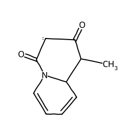 CC1C(=O)[C]C(=O)N2C=CC=CC12